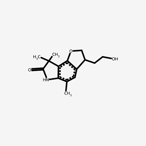 Cc1cc2c(c3c1NC(=O)C3(C)C)OCC2CCO